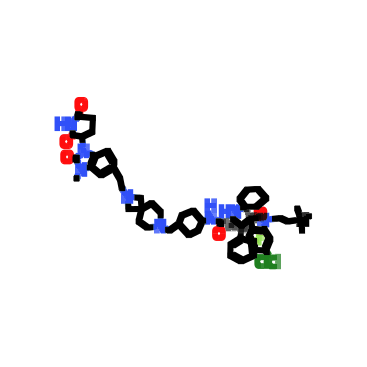 Cn1c(=O)n(C2CCC(=O)NC2=O)c2ccc(CCN3CC4(CCN(CC5CCC(NC(=O)[C@@H]6NC7(CCCCC7)[C@@]7(C(=O)N(CC[Si](C)(C)C)c8cc(Cl)ccc87)[C@H]6c6cccc(Cl)c6F)CC5)CC4)C3)cc21